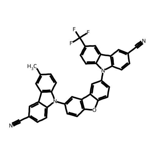 Cc1ccc2c(c1)c1cc(C#N)ccc1n2-c1ccc2oc3ccc(-n4c5ccc(C#N)cc5c5cc(C(F)(F)F)ccc54)cc3c2c1